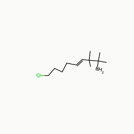 BC(C)(C)C(C)(C)C=CCCCCCl